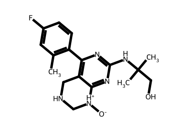 Cc1cc(F)ccc1-c1nc(NC(C)(C)CO)nc2c1CNC[NH+]2[O-]